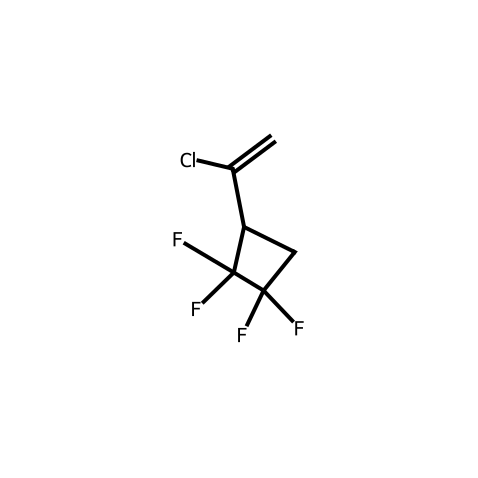 C=C(Cl)C1CC(F)(F)C1(F)F